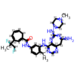 Cc1ccc(NC(=O)C2=CC(C(C)(F)CF)=CC=CC2)cc1Nc1ncnc2c1N=C(NN1CCN(C)CC1)N=C(N)C2